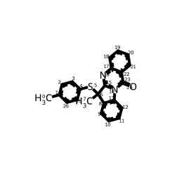 Cc1ccc(SC2(C)c3ccccc3-n3c2nc2ccccc2c3=O)cc1